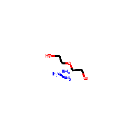 N.NN.OCCOCCO